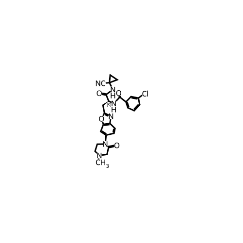 CN1CCN(c2ccc3nc(C[C@H](NC(=O)c4cccc(Cl)c4)C(=O)NC4(C#N)CC4)oc3c2)C(=O)C1